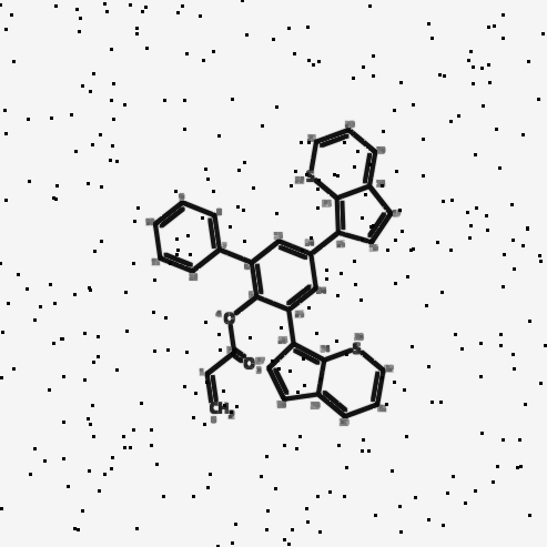 C=CC(=O)Oc1c(-c2ccccc2)cc(-c2ccc3cccsc2-3)cc1-c1ccc2cccsc1-2